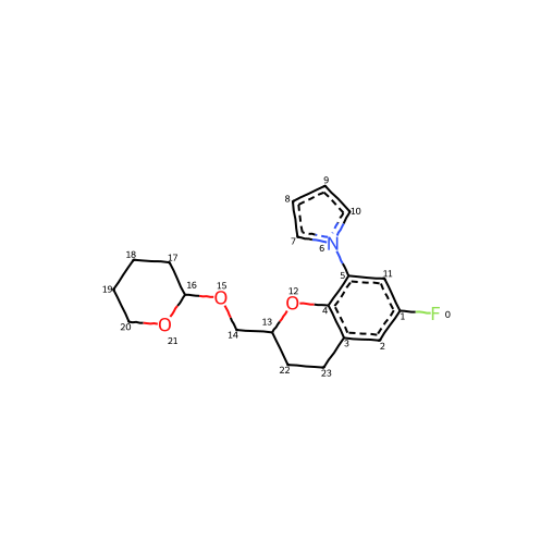 Fc1cc2c(c(-n3cccc3)c1)OC(COC1CCCCO1)CC2